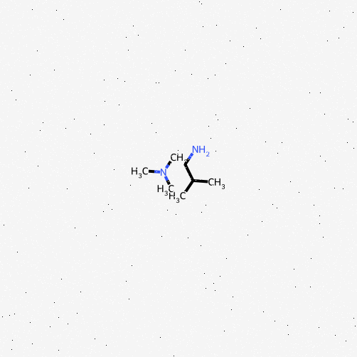 CC(C)CN.CN(C)C